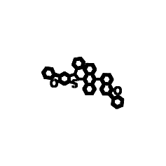 c1ccc(C2c3cc4c(cc3SC2c2c3ccccc3c(-c3cccc5c3ccc3c6ccccc6oc53)c3ccccc23)oc2ccccc24)cc1